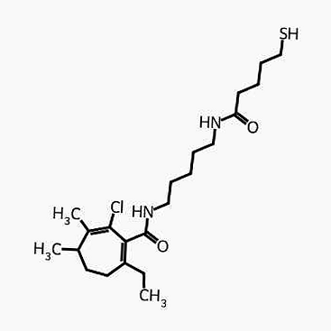 CCC1=C(C(=O)NCCCCCNC(=O)CCCCS)C(Cl)=C(C)C(C)CC1